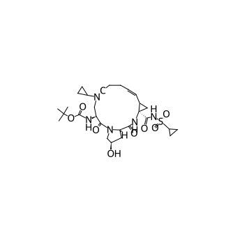 CC(C)(C)OC(=O)N[C@H]1CN(C2CC2)CCC/C=C\C2C[C@@]2(C(=O)NS(=O)(=O)C2CC2)NC(=O)[C@@H]2C[C@@H](O)CN2C1=O